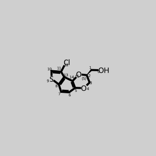 OC[C@H]1COc2ccc3scc(Cl)c3c2O1